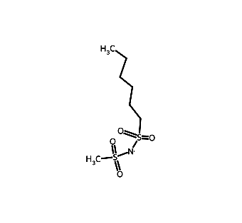 CCCCCCS(=O)(=O)[N]S(C)(=O)=O